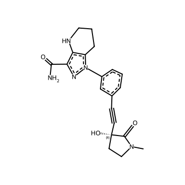 CN1CC[C@@](O)(C#Cc2cccc(-n3nc(C(N)=O)c4c3CCCN4)c2)C1=O